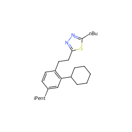 CCCCc1nnc(CCc2ccc(C(C)CCC)cc2C2CCCCC2)s1